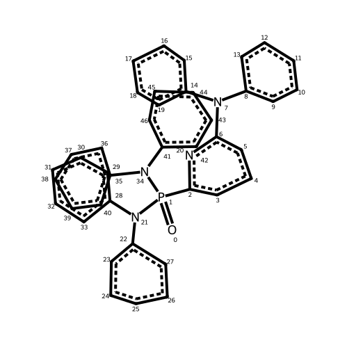 O=P(c1cccc(N(c2ccccc2)c2ccccc2)n1)(N(c1ccccc1)c1ccccc1)N(c1ccccc1)c1ccccc1